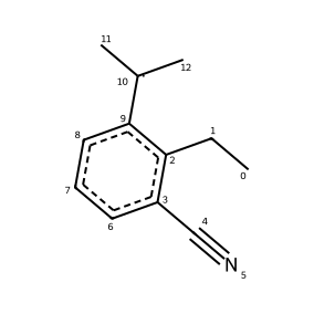 CCc1c(C#N)cccc1[C](C)C